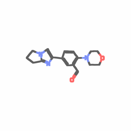 O=Cc1cc(-c2cn3c(n2)CCC3)ccc1N1CCOCC1